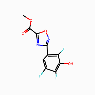 COC(=O)c1nc(-c2cc(F)c(F)c(O)c2F)no1